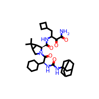 CC1(C)C2CN(C(=O)[C@@H](NC(=O)NC34CC5CC(CC(C5)C3)C4)C3CCCCC3)[C@H](C(=O)NC(CC3CCC3)C(=O)C(N)=O)C21